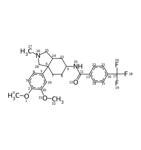 COc1ccc(C23CCC(NC(=O)c4ccc(C(F)(F)F)cc4)CC2CN(C)C3)cc1OC